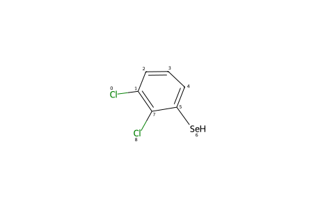 Clc1cccc([SeH])c1Cl